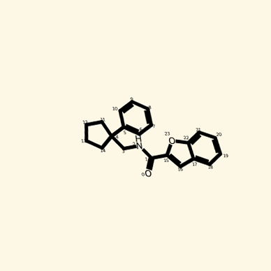 O=C(NCC1(c2ccccc2)CCCC1)c1cc2ccccc2o1